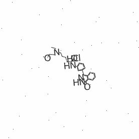 CCN(CCCCC(=O)Nc1cccc(-c2n[nH]c(=O)c3ccccc23)c1)CCOC.Cl